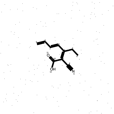 C=CC=CC(CC)=C(C#N)C(=O)O